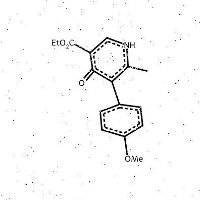 CCOC(=O)c1c[nH]c(C)c(-c2ccc(OC)cc2)c1=O